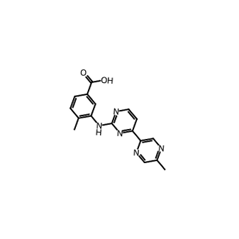 Cc1cnc(-c2ccnc(Nc3cc(C(=O)O)ccc3C)n2)cn1